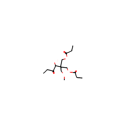 CCC(=O)OCC(COC)(COC(=O)CC)C(O)C(=O)CC